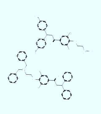 CCN(CC)CCOc1c(C)cc(C(=O)CC(c2ccc(Cl)cc2)c2ccc(Cl)cc2)cc1C.Cc1cc(C(=O)CC(c2ccccc2)c2ccccc2)cc(C)c1OCCN(Cc1ccccc1)Cc1ccccc1